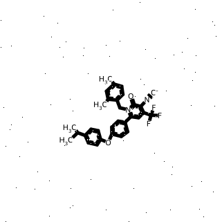 [C-]#[N+]c1c(C(F)(F)F)cc(-c2ccc(Oc3ccc(C(C)C)cc3)cc2)n(Cc2ccc(C)cc2C)c1=O